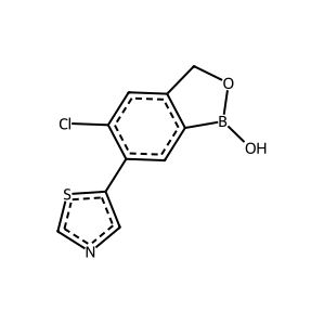 OB1OCc2cc(Cl)c(-c3cncs3)cc21